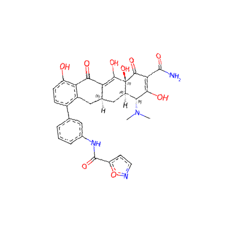 CN(C)[C@H]1C(O)=C(C(N)=O)C(=O)[C@@]2(O)C(O)=C3C(=O)c4c(O)ccc(-c5cccc(NC(=O)c6ccno6)c5)c4C[C@@H]3C[C@H]12